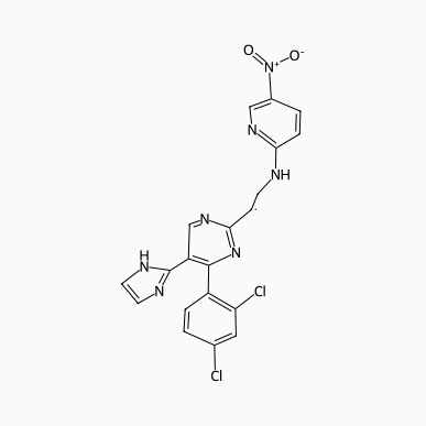 O=[N+]([O-])c1ccc(NC[CH]c2ncc(-c3ncc[nH]3)c(-c3ccc(Cl)cc3Cl)n2)nc1